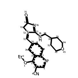 CCOc1c(C#N)cnc2ccc(/C=S3/CC(=O)N=C3NCC3CCOCC3)cc12